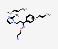 Cc1nccn1CCC(=NOCCN)c1ccccc1.O=C(O)/C=C/C(=O)O.O=C(O)/C=C/C(=O)O